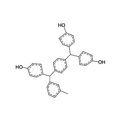 Cc1cccc(C(c2ccc(O)cc2)c2ccc(C(c3ccc(O)cc3)c3ccc(O)cc3)cc2)c1